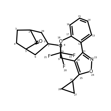 O=C1C2CCC1CC(OCc1c(-c3ccccc3OC(F)(F)F)noc1C1CC1)C2